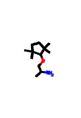 CC(N)COC1C(C)(C)CCC1(C)C